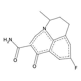 CC1CCc2cc(F)cc3c(=O)c(C(N)=O)cn1c23